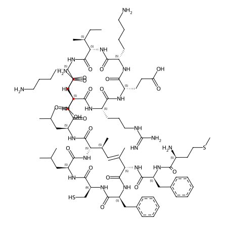 CC[C@H](C)[C@H](NC(=O)[C@H](CCCCN)NC(=O)[C@H](CCC(=O)O)NC(=O)[C@H](CCCNC(=N)N)NC(=O)[C@H](CC(N)=O)NC(=O)[C@H](CC(C)C)NC(=O)[C@@H](NC(=O)[C@H](CC(C)C)NC(=O)[C@H](CS)NC(=O)[C@H](Cc1ccccc1)NC(=O)[C@@H](NC(=O)[C@H](Cc1ccccc1)NC(=O)[C@@H](N)CCSC)C(C)C)[C@@H](C)CC)C(=O)N[C@@H](CCCCN)C(=O)NCC(=O)O